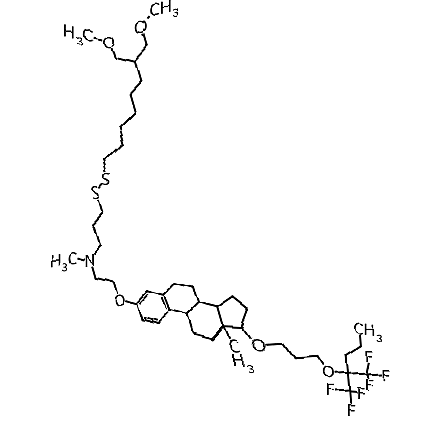 CCCC(OCCCOC1CCC2C3CCc4cc(OCCN(C)CCCSSCCCCCCC(COC)COC)ccc4C3CCC12C)(C(F)(F)F)C(F)(F)F